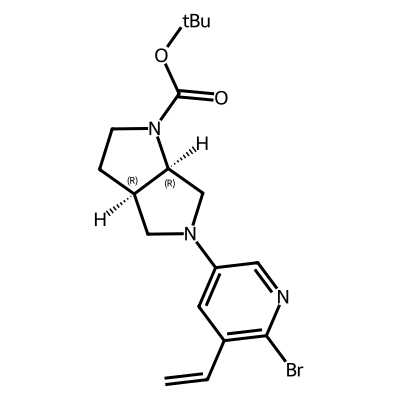 C=Cc1cc(N2C[C@H]3CCN(C(=O)OC(C)(C)C)[C@H]3C2)cnc1Br